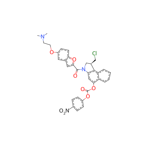 CN(C)CCOc1ccc2oc(C(=O)N3C[C@@H](CCl)c4c3cc(OC(=O)Oc3ccc([N+](=O)[O-])cc3)c3ccccc43)cc2c1